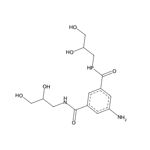 Nc1cc(C(=O)NCC(O)CO)cc(C(=O)PCC(O)CO)c1